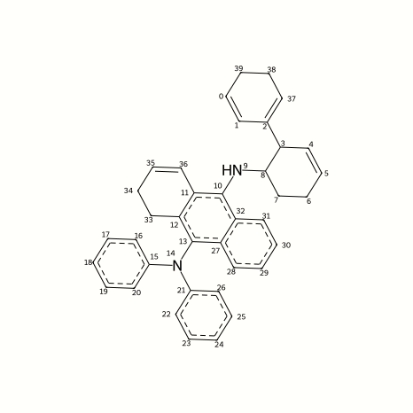 C1=CC(C2C=CCCC2Nc2c3c(c(N(c4ccccc4)c4ccccc4)c4ccccc24)CCC=C3)=CCC1